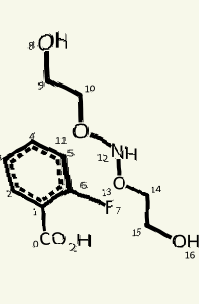 O=C(O)c1ccccc1F.OCCONOCCO